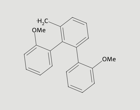 [CH2]c1cccc(-c2ccccc2OC)c1-c1ccccc1OC